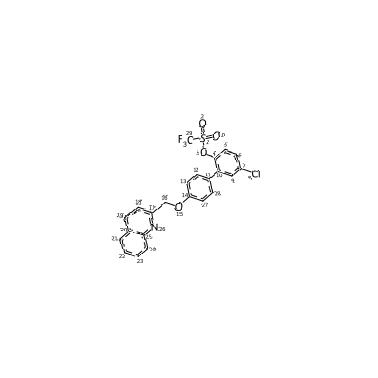 O=S(=O)(Oc1ccc(Cl)cc1-c1ccc(OCc2ccc3ccccc3n2)cc1)C(F)(F)F